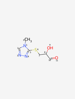 Cn1cnnc1SCC(O)C=O